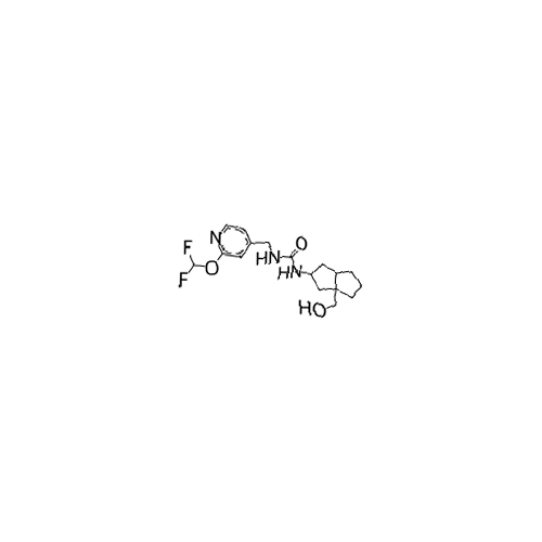 O=C(NCc1ccnc(OC(F)F)c1)NC1CC2CCCC2(CO)C1